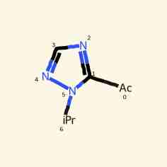 CC(=O)c1ncnn1C(C)C